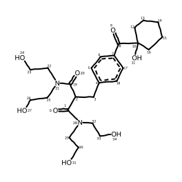 O=C(C(Cc1ccc(C(=O)C2(O)CCCCC2)cc1)C(=O)N(CCO)CCO)N(CCO)CCO